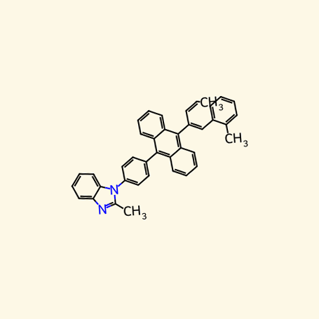 C/C=C\C(=C/c1ccccc1C)c1c2ccccc2c(-c2ccc(-n3c(C)nc4ccccc43)cc2)c2ccccc12